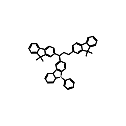 CC1(C)c2ccccc2-c2ccc(CCC(c3ccc4c(c3)C3C=CC=CC3N4c3ccccc3)c3ccc4c(c3)C(C)(C)c3ccccc3-4)cc21